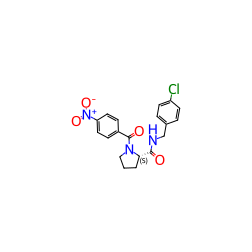 O=C(NCc1ccc(Cl)cc1)[C@@H]1CCCN1C(=O)c1ccc([N+](=O)[O-])cc1